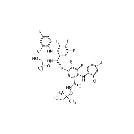 CC(C)(CO)ONC(=O)c1cc(F)c(F)c(F)c1Nc1ccc(I)cc1Cl.O=C(NOC1(CO)CC1)c1cc(F)c(F)c(F)c1Nc1ccc(I)cc1Cl